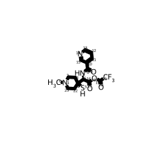 CN1CCC(S)([C@@H](NC(=O)c2cccnc2)C(=O)OC(=O)C(F)(F)F)CC1